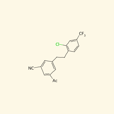 CC(=O)c1cc(C#N)cc(CCc2ccc(C(F)(F)F)cc2Cl)c1